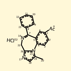 CC(=O)c1ccc2c(c1)C(c1ccccc1)=NCc1ncc(C)n1-2.Cl